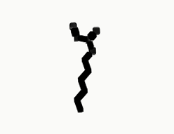 CCCCCCO[P](=O)P=O